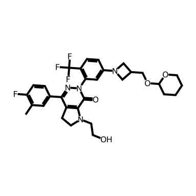 Cc1cc(-c2nn(-c3cc(N4CC(COC5CCCCO5)C4)ccc3C(F)(F)F)c(=O)c3c2CCN3CCO)ccc1F